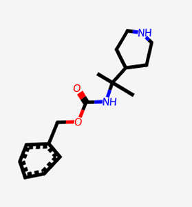 CC(C)(NC(=O)OCc1ccccc1)C1CCNCC1